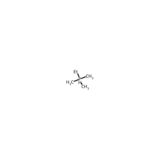 [CH2]C[PH](C)(C)C